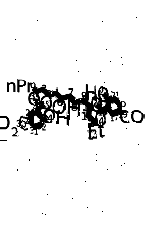 CCCC1CC(CC(O)CCCC2CC(CC)OC(c3cc(C(=O)OCC)ccc3O)O2)OC(c2cc(C(=O)OCC)ccc2O)O1